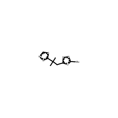 CC(C)(C)c1nnc(CC(C)(C)c2nncs2)o1